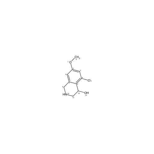 COc1cc(Cl)c2c(c1)CNCC2O